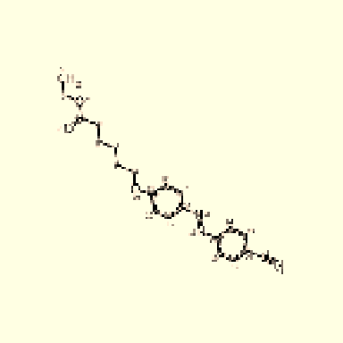 CCOC(=O)CCCCCOc1ccc(/N=N/c2ccc(C#N)cc2)cc1